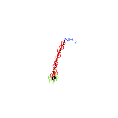 NCCOCCOCCOCCOCCOCCOCCOCCOCC(=O)Oc1c(F)c(F)c(F)c(F)c1F